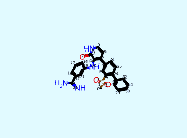 CS(=O)(=O)c1cc(-c2cc[nH]c(=O)c2Nc2cccc(C(=N)N)c2)ccc1-c1ccccc1